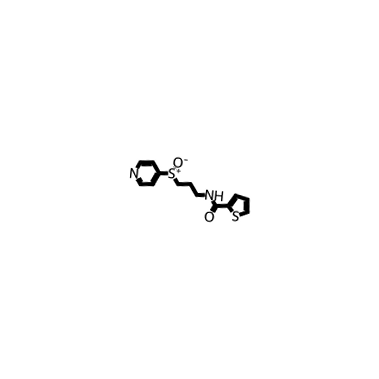 O=C(NCCC[S+]([O-])c1ccncc1)c1cccs1